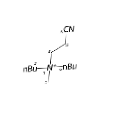 CCCC[N+](C)(CCC#N)CCCC